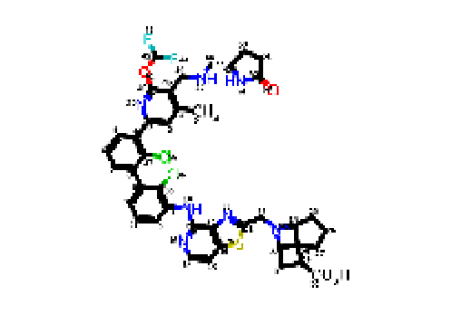 Cc1cc(-c2cccc(-c3cccc(Nc4nccc5sc(CN6C7CCCC78C(C(=O)O)CC68)nc45)c3Cl)c2Cl)nc(OC(F)F)c1CNC[C@@H]1CCC(=O)N1